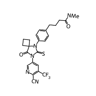 CNC(=O)CCCc1ccc(N2C(=S)N(c3cnc(C#N)c(C(F)(F)F)c3)C(=O)C23CCC3)cc1